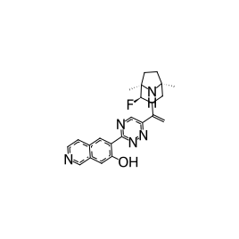 C=C(c1cnc(-c2cc3ccncc3cc2O)nn1)C1C[C@]2(C)CC[C@@](C)(N2)[C@@H]1F